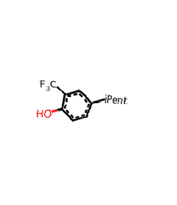 CCCC(C)c1ccc(O)c(C(F)(F)F)c1